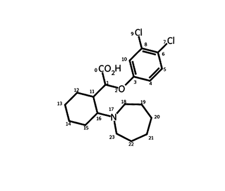 O=C(O)C(Oc1ccc(Cl)c(Cl)c1)C1CCCCC1N1CCCCCC1